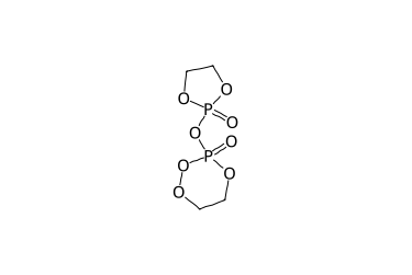 O=P1(OP2(=O)OCCOO2)OCCO1